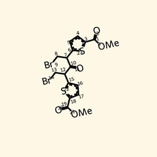 COC(=O)c1ccc(C(CBr)C(=O)C(CBr)c2ccc(C(=O)OC)s2)s1